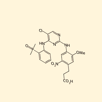 COc1cc(CCC(=O)O)c([N+](=O)[O-])cc1Nc1ncc(Cl)c(Nc2ccccc2P(C)(C)=O)n1